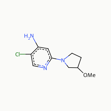 COC1CCN(c2cc(N)c(Cl)cn2)C1